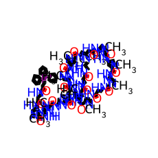 CN(C)CCCNC(=O)CCNC(=O)c1cc(NC(=O)c2cc(NC(=O)CCNC(=O)c3nc(NC(=O)c4cc(NC(=O)c5nc(NC(=O)CCCNC(=O)c6cc(NC(=O)c7nc(NC(=O)CCNC(=O)c8nc(NC(=O)c9nc(NC(=O)c%10nc(NC(=O)CCNC(=O)CC[P+](c%11ccccc%11)(c%11ccccc%11)c%11ccccc%11)cn%10C)cn9C)cn8C)cn7C)cn6C)cn5C)cn4C)cn3C)cn2C)cn1C